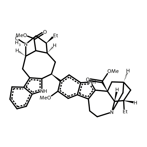 CC[C@H]1C[C@H]2CN3CCc4c([nH]c5cc([C@@H]6C[C@H]7C(C(=O)OC)[C@@H](Cc8c6[nH]c6ccccc86)N(C)C[C@H]7CC)c(OC)cc45)[C@](C(=O)OC)(C2)[C@H]13